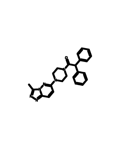 Cc1nnc2ccc(N3CCN(C(=O)C(c4ccccc4)c4ccccc4)CC3)nn12